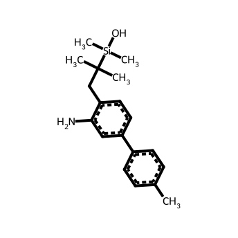 Cc1ccc(-c2ccc(CC(C)(C)[Si](C)(C)O)c(N)c2)cc1